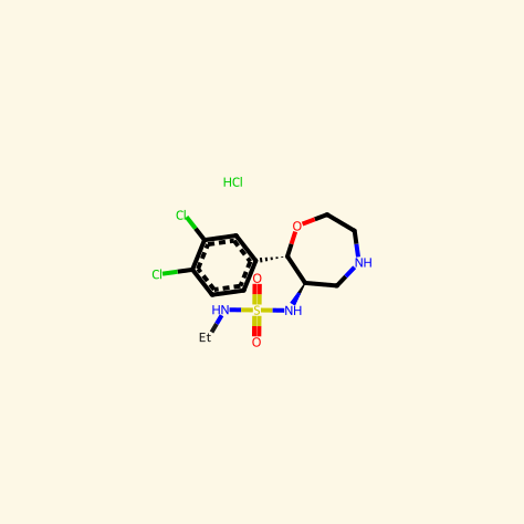 CCNS(=O)(=O)N[C@@H]1CNCCO[C@H]1c1ccc(Cl)c(Cl)c1.Cl